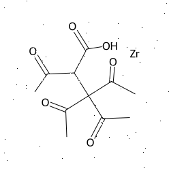 CC(=O)C(C(=O)O)C(C(C)=O)(C(C)=O)C(C)=O.[Zr]